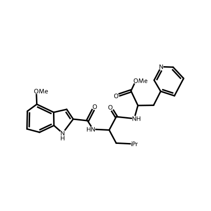 COC(=O)C(Cc1cccnc1)NC(=O)C(CC(C)C)NC(=O)c1cc2c(OC)cccc2[nH]1